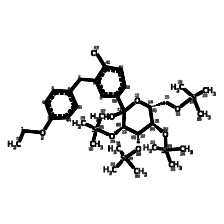 CCOc1ccc(Cc2cc(C3(O)O[C@H](CO[Si](C)(C)C)[C@@H](O[Si](C)(C)C)[C@H](O[Si](C)(C)C)[C@H]3O[Si](C)(C)C)ccc2Cl)cc1